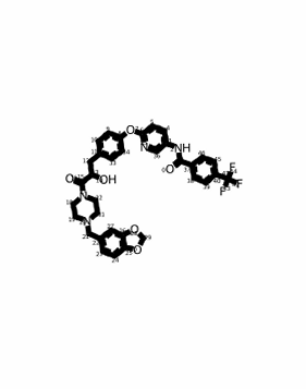 O=C(Nc1ccc(Oc2ccc(CC(O)C(=O)N3CCN(Cc4ccc5c(c4)OCO5)CC3)cc2)nc1)c1ccc(C(F)(F)F)cc1